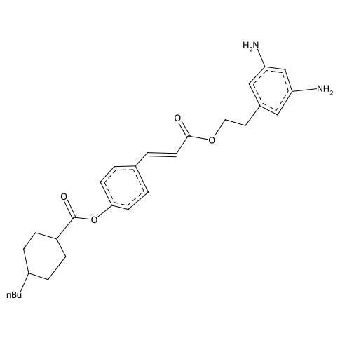 CCCCC1CCC(C(=O)Oc2ccc(/C=C/C(=O)OCCc3cc(N)cc(N)c3)cc2)CC1